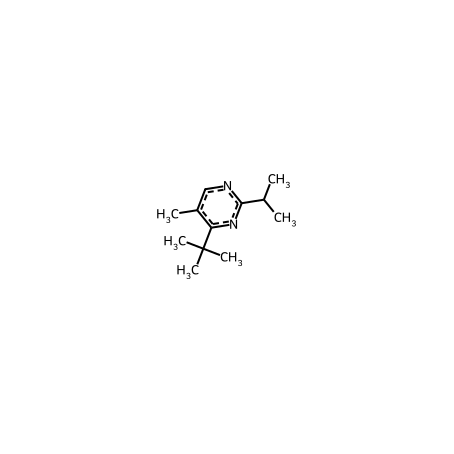 Cc1cnc(C(C)C)nc1C(C)(C)C